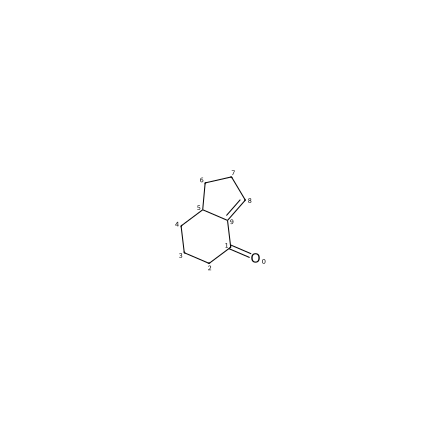 O=C1CCCC2CCC=C12